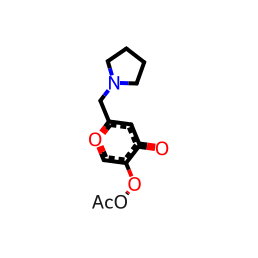 CC(=O)OOc1coc(CN2CCCC2)cc1=O